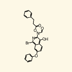 O=CN(OC(=O)CCc1ccccc1)c1nc(Br)c2cc(Oc3ccccc3)ccc2c1O